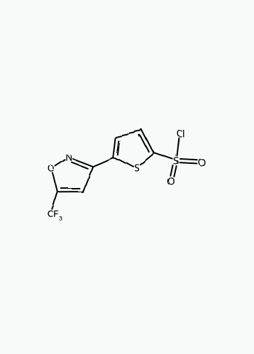 O=S(=O)(Cl)c1ccc(-c2cc(C(F)(F)F)on2)s1